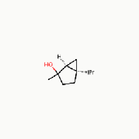 CC(C)[C@]12CCC(C)(O)[C@H]1C2